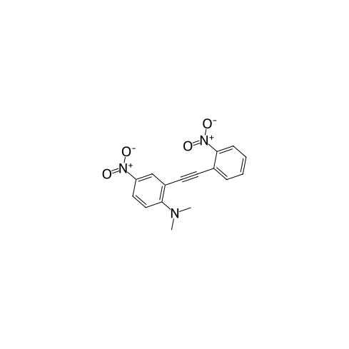 CN(C)c1ccc([N+](=O)[O-])cc1C#Cc1ccccc1[N+](=O)[O-]